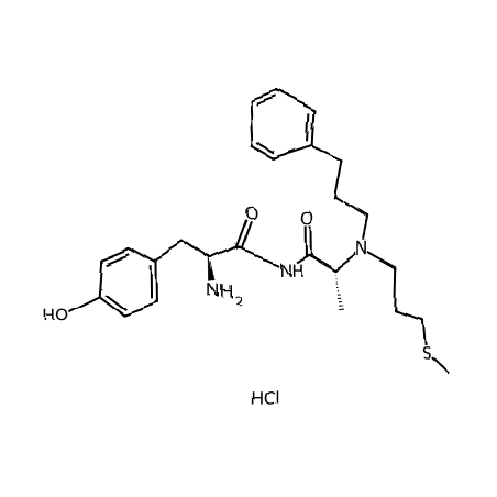 CSCCCN(CCCc1ccccc1)[C@H](C)C(=O)NC(=O)[C@@H](N)Cc1ccc(O)cc1.Cl